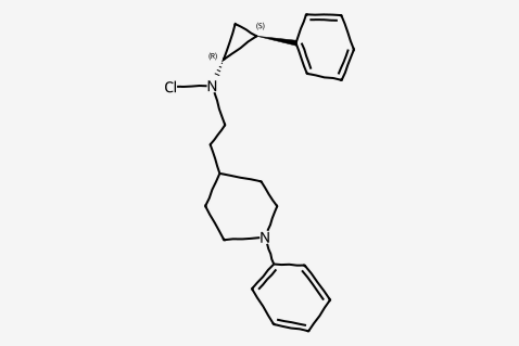 ClN(CCC1CCN(c2ccccc2)CC1)[C@@H]1C[C@H]1c1ccccc1